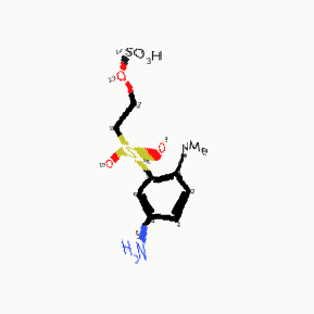 CNc1ccc(N)cc1S(=O)(=O)CCOS(=O)(=O)O